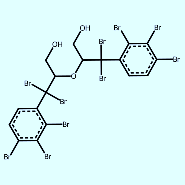 OCC(OC(CO)C(Br)(Br)c1ccc(Br)c(Br)c1Br)C(Br)(Br)c1ccc(Br)c(Br)c1Br